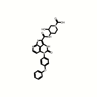 O=C(NC1CCN(C(=O)O)CC1O)c1sc2nccc3c2c1NC(=O)N3c1ccc(Oc2ccccc2)cc1